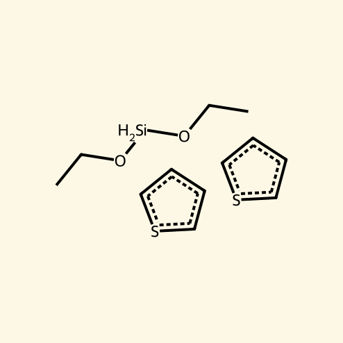 CCO[SiH2]OCC.c1ccsc1.c1ccsc1